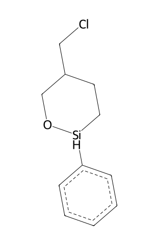 ClCC1CC[SiH](c2ccccc2)OC1